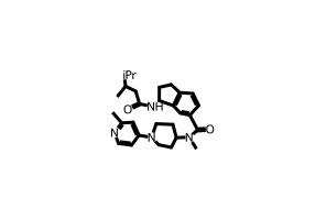 Cc1cc(N2CCC(N(C)C(=O)c3ccc4c(c3)[C@H](NC(=O)CC(C)C(C)C)CC4)CC2)ccn1